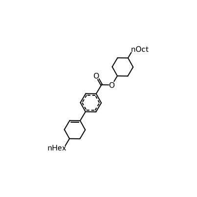 CCCCCCCCC1CCC(OC(=O)c2ccc(C3=CCC(CCCCCC)CC3)cc2)CC1